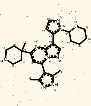 Cc1n[nH]c(C)c1-c1cc(C2(C)CCOCC2)nc2c(-c3ccnn3C3CCCCO3)cnn12